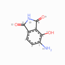 Nc1ccc2c(c1O)C(=O)NC2=O